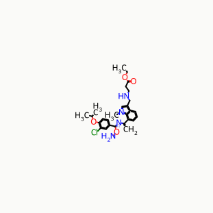 C=C(/N=C(\ON)c1ccc(OC(C)C)c(Cl)c1)c1cccc2c(CNCCC(=O)OCC)cn(C)c12